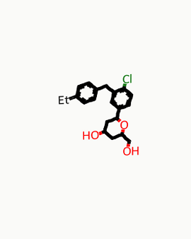 CCc1ccc(Cc2cc(C3CC(O)CC(CO)O3)ccc2Cl)cc1